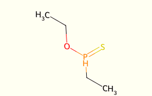 CCO[PH](=S)CC